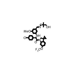 COc1cc(C=NOC(C)(C)CO)cc(NC(C(=O)N2CC3(CC3)c3ccc(OC(F)(F)F)cc32)c2ccc(Cl)cc2)c1